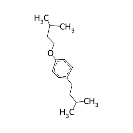 CC(C)CCOc1ccc(CCC(C)C)cc1